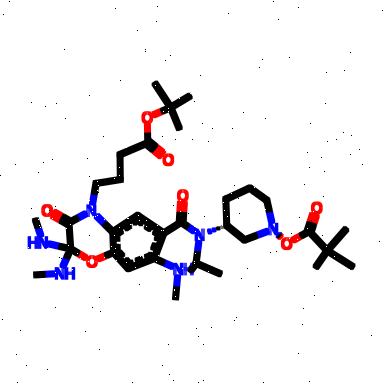 CNc1cc2c(cc1C(=O)N(C(C)C)[C@@H]1CCCN(OC(=O)C(C)(C)C)C1)N(CCCC(=O)OC(C)(C)C)C(=O)C(NC)(NC)O2